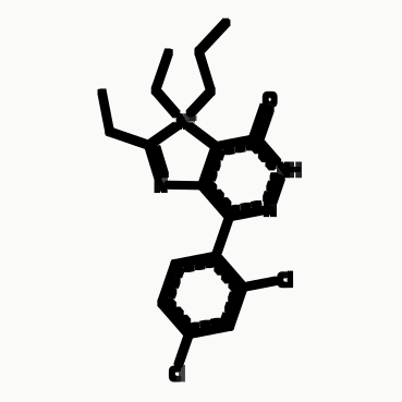 CCC[N+]1(CC)C(CC)=Nc2c(-c3ccc(Cl)cc3Cl)n[nH]c(=O)c21